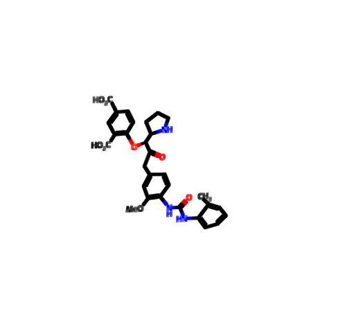 COc1cc(CC(=O)[C@@H](Oc2ccc(C(=O)O)cc2C(=O)O)C2CCCN2)ccc1NC(=O)Nc1ccccc1C